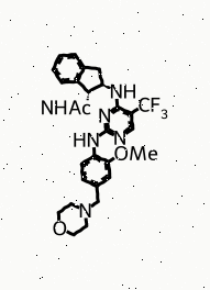 COc1cc(CN2CCOCC2)ccc1Nc1ncc(C(F)(F)F)c(N[C@@H]2Cc3ccccc3[C@H]2NC(C)=O)n1